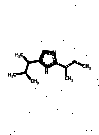 CCC(C)c1ncc(C(C)C(C)C)[nH]1